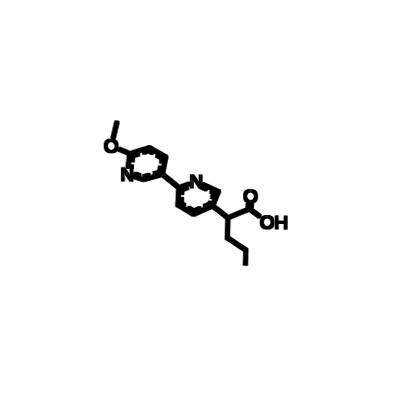 CCCC(C(=O)O)c1ccc(-c2ccc(OC)nc2)nc1